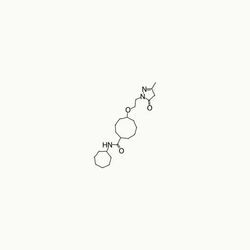 CC1=NN(CCOC2CCCCC(C(=O)NC3CCCCCC3)CCC2)C(=O)C1